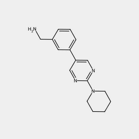 NCc1cccc(-c2cnc(N3CCCCC3)nc2)c1